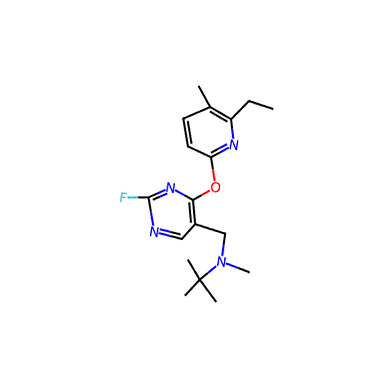 CCc1nc(Oc2nc(F)ncc2CN(C)C(C)(C)C)ccc1C